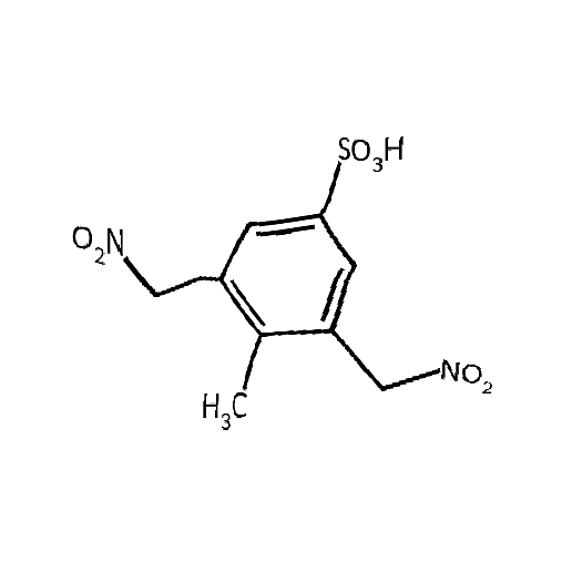 Cc1c(C[N+](=O)[O-])cc(S(=O)(=O)O)cc1C[N+](=O)[O-]